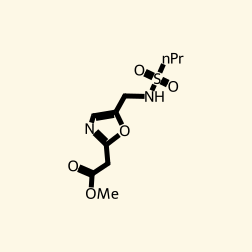 CCCS(=O)(=O)NCc1cnc(CC(=O)OC)o1